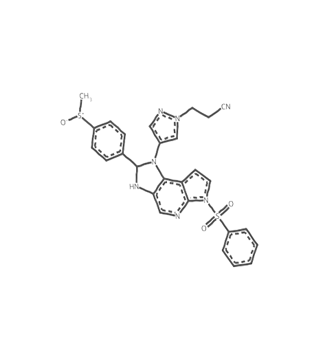 C[S+]([O-])c1ccc(C2Nc3cnc4c(ccn4S(=O)(=O)c4ccccc4)c3N2c2cnn(CCC#N)c2)cc1